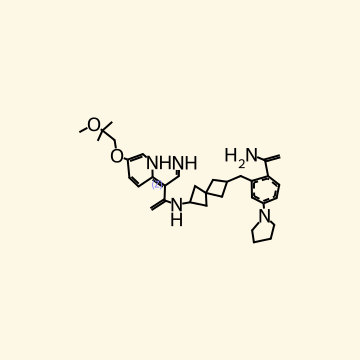 C=C(NC1CC2(CC(Cc3cc(N4CCCC4)ccc3C(=C)N)C2)C1)/C(C=N)=C1\C=CC(OCC(C)(C)OC)=CN1